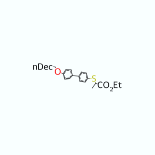 CCCCCCCCCCCOc1ccc(-c2ccc(S[C@H](C)C(=O)OCC)cc2)cc1